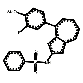 COc1ccc(-c2ccccc3cc(NS(=O)(=O)c4ccccc4)cc2-3)cc1F